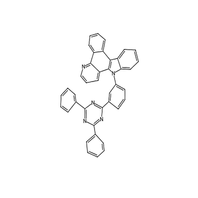 c1ccc(-c2nc(-c3ccccc3)nc(-c3cccc(-n4c5ccccc5c5c6ccccc6c6ncccc6c54)c3)n2)cc1